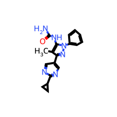 Cc1c(-c2cnc(C3CC3)nc2)nn(-c2ccccc2)c1NC(N)=O